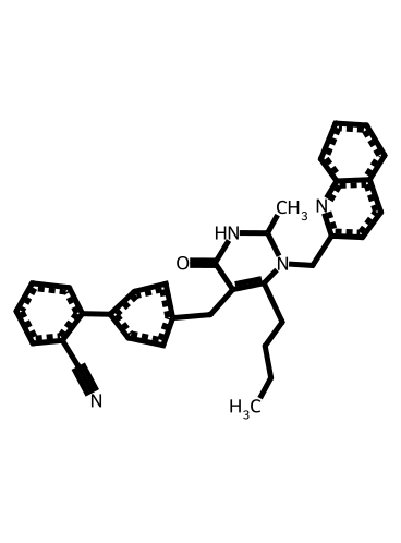 CCCCC1=C(Cc2ccc(-c3ccccc3C#N)cc2)C(=O)NC(C)N1Cc1ccc2ccccc2n1